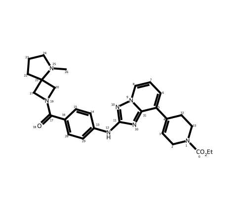 CCOC(=O)N1CC=C(c2cccn3nc(Nc4ccc(C(=O)N5CC6(CCCN6C)C5)cc4)nc23)CC1